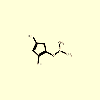 CC1=CC(C(C)(C)C)=C(O[SiH](C)C)C1